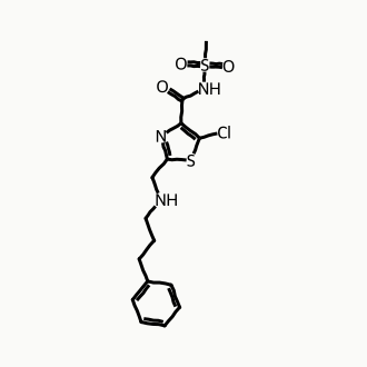 CS(=O)(=O)NC(=O)c1nc(CNCCCc2ccccc2)sc1Cl